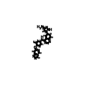 Cc1cc(Nc2ncnc3ccc(-c4cc(N)n[nH]4)cc23)ccc1Oc1cc2nncn2cn1